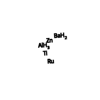 [AlH3].[BaH2].[Ru].[Ti].[Zn]